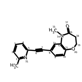 Cc1cccc(C#Cc2ccc3c(c2)N(C)C(=O)CCO3)n1